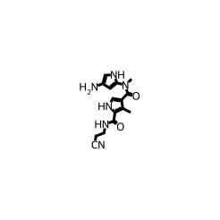 Cc1c(C(=O)N(C)c2cc(N)c[nH]2)c[nH]c1C(=O)NCCC#N